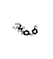 CC(C)c1cccc(Oc2ccc(NC(=O)C(C)(N)CO)cc2)c1